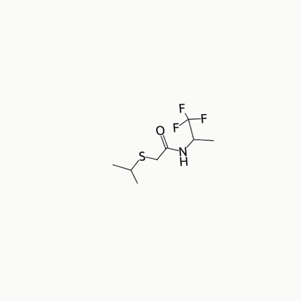 CC(C)SCC(=O)NC(C)C(F)(F)F